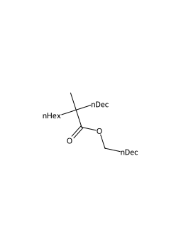 CCCCCCCCCCCOC(=O)C(C)(CCCCCC)CCCCCCCCCC